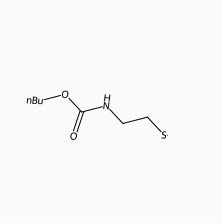 CCCCOC(=O)NCC[S]